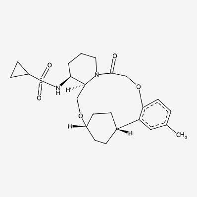 Cc1ccc2c(c1)[C@H]1CC[C@H](CC1)OC[C@H]1[C@@H](NS(=O)(=O)C3CC3)CCCN1C(=O)CO2